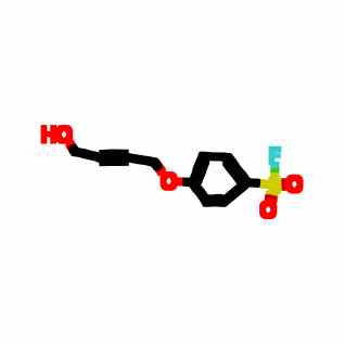 O=S(=O)(F)c1ccc(OCC#CCO)cc1